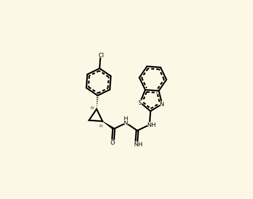 N=C(NC(=O)[C@H]1C[C@@H]1c1ccc(Cl)cc1)Nc1nc2ccccc2s1